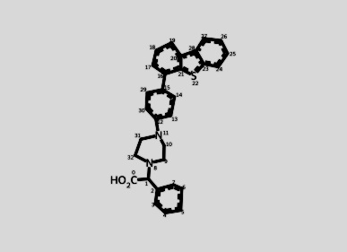 O=C(O)C(c1ccccc1)N1CCN(c2ccc(-c3cccc4c3sc3ccccc34)cc2)CC1